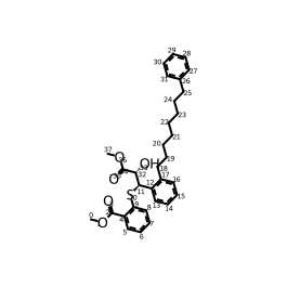 COC(=O)c1ccccc1S[C@H](c1ccccc1CCCCCCCCc1ccccc1)[C@@H](O)C(=O)OC